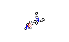 CC1(C)c2ccccc2-c2cc(N(c3ccc(-c4ccccc4)cc3)c3ccc(C4=C5C=CC=C6c7cccc(N(c8ccccc8)c8ccccc8)c7OC(C=C4)C65)c4ccccc34)ccc21